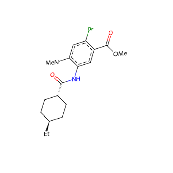 CC[C@H]1CC[C@H](C(=O)Nc2cc(C(=O)OC)c(Br)cc2NC)CC1